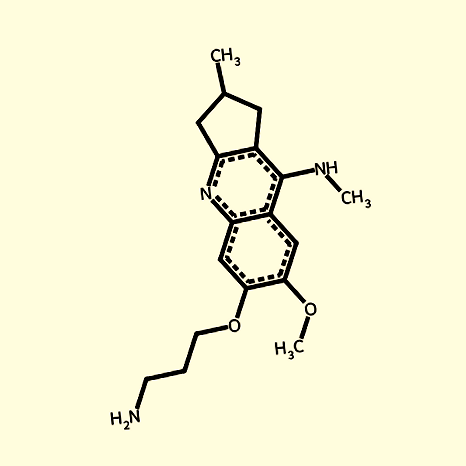 CNc1c2c(nc3cc(OCCCN)c(OC)cc13)CC(C)C2